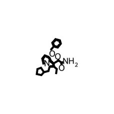 CCc1c(C(=O)C(N)=O)c2c(OCc3ccccc3)cccn2c1CC1CCCC1